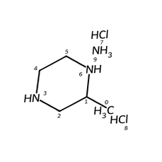 CC1CNCCN1.Cl.Cl.N